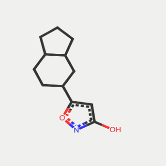 Oc1cc(C2CCC3CCCC3C2)on1